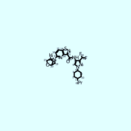 CC(C)C1CCC(n2cc(NC(=O)c3nsc4ccc(N5CC6C[C@@H]5CO6)nc34)c(C(F)F)n2)CC1